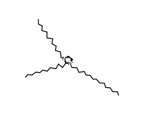 CCCCCCCCCCCCCCC[n+]1ccn(CCCCCCCCCCCC)c1CCCCCCCCCCC